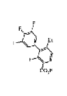 CCc1ccc(C(=O)O)c(F)c1-c1cc(F)c(F)c(F)c1